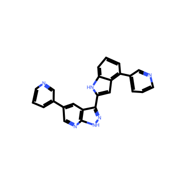 c1cncc(-c2cnc3[nH]nc(-c4cc5c(-c6cccnc6)cccc5[nH]4)c3c2)c1